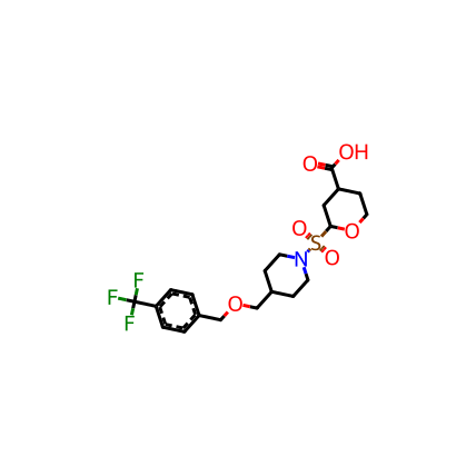 O=C(O)C1CCOC(S(=O)(=O)N2CCC(COCc3ccc(C(F)(F)F)cc3)CC2)C1